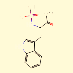 COC(=O)[C@H](Cc1c[nH]c2ccccc12)NP(C)(=O)O